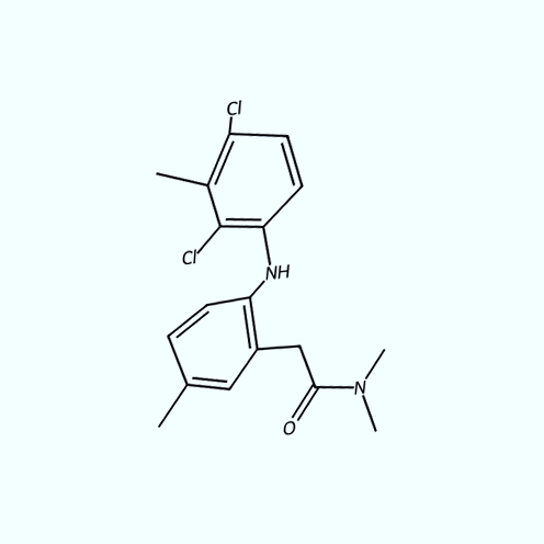 Cc1ccc(Nc2ccc(Cl)c(C)c2Cl)c(CC(=O)N(C)C)c1